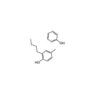 CCCCc1cc(C)ccc1O.Oc1ccccc1